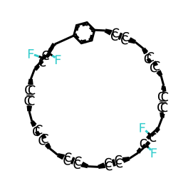 Fc1cc2c(F)cc1-c1ccc(cc1)-c1ccc(cc1)-c1ccc(cc1)-c1ccc(cc1)-c1cc(F)c(cc1F)-c1ccc(cc1)-c1ccc(cc1)-c1ccc(cc1)-c1ccc-2cc1